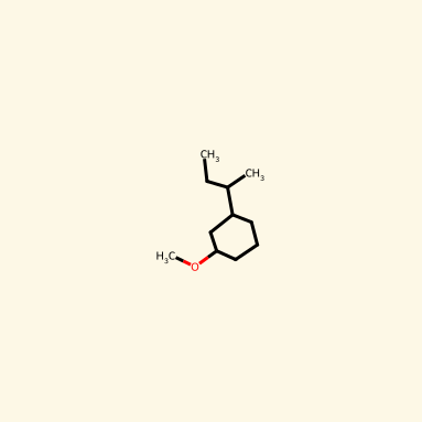 CCC(C)C1CCCC(OC)C1